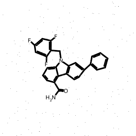 NC(=O)c1cccc2c1c1[c]cc(-c3ccccc3)cc1n2Cc1c(F)cc(F)cc1F